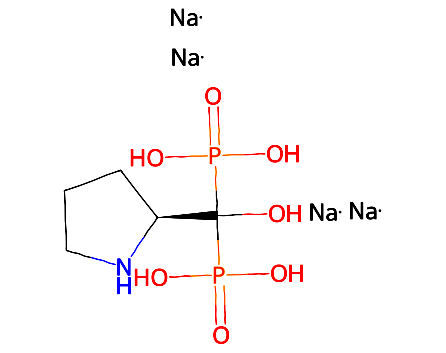 O=P(O)(O)C(O)([C@@H]1CCCN1)P(=O)(O)O.[Na].[Na].[Na].[Na]